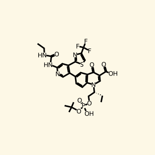 CCNC(=O)Nc1cc(-c2nc(C(F)(F)F)cs2)c(-c2ccc3c(c2)c(=O)c(C(=O)O)cn3[C@H](CC)COP(=O)(O)OC(C)(C)C)cn1